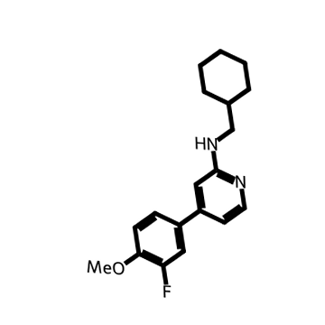 COc1ccc(-c2ccnc(NCC3CCCCC3)c2)cc1F